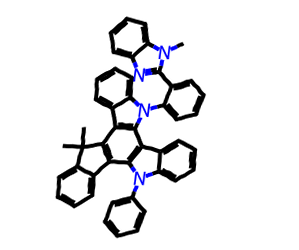 Cn1c(-c2ccccc2-n2c3ccccc3c3c4c(c5c(c6ccccc6n5-c5ccccc5)c32)-c2ccccc2C4(C)C)nc2ccccc21